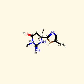 Bc1cnc([C@]2(C)CC(=O)N(C)C(=N)N2)s1